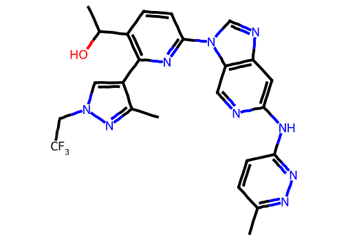 Cc1ccc(Nc2cc3ncn(-c4ccc(C(C)O)c(-c5cn(CC(F)(F)F)nc5C)n4)c3cn2)nn1